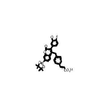 CC1(C)OB(c2ccc3c(Cc4ccc(/C=C/C(=O)O)cc4)c(-c4ccc(F)c(Cl)c4)c(=O)oc3c2)OC1(C)C